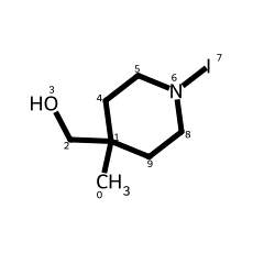 CC1(CO)CCN(I)CC1